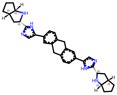 c1cc2c(cc1-c1cnc([C@@H]3C[C@@H]4CCC[C@@H]4N3)[nH]1)Cc1ccc(-c3cnc([C@@H]4C[C@@H]5CCC[C@@H]5N4)[nH]3)cc1C2